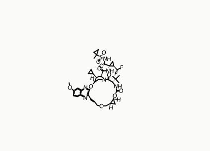 COc1ccc2nc3c(nc2c1)O[C@H]1CN(C(=O)[C@H](C(C)(C)C)NC(=O)O[C@@H]2C[C@H]2CCC/C=C/3)[C@H](C(=O)N[C@]2(C(=O)NS(=O)(=O)C3(C)CC3)C[C@H]2C(F)F)[C@@H]1C1CC1